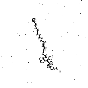 COC(=O)C(Cl)C(Cl)C(Cl)CCCCCCCCCCCCCCCl